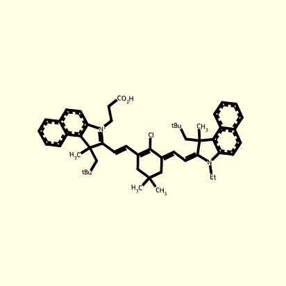 CCN1/C(=C/C=C2\CC(C)(C)CC(/C=C/C3=[N+](CCC(=O)O)c4ccc5ccccc5c4C3(C)CC(C)(C)C)=C2Cl)C(C)(CC(C)(C)C)c2c1ccc1ccccc21